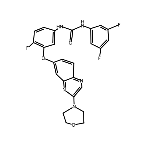 O=C(Nc1cc(F)cc(F)c1)Nc1ccc(F)c(Oc2ccc3ncc(N4CCOCC4)nc3c2)c1